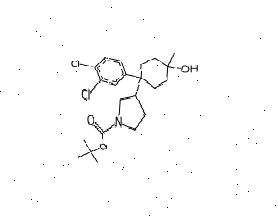 CC1(O)CCC(c2ccc(Cl)c(Cl)c2)(C2CCN(C(=O)OC(C)(C)C)C2)CC1